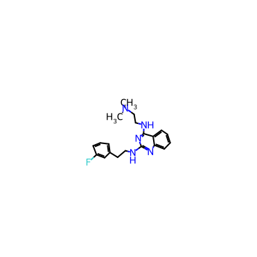 CN(C)CCNc1nc(NCCc2cccc(F)c2)nc2ccccc12